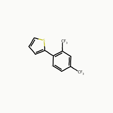 FC(F)(F)c1c[c]c(-c2cccs2)c(C(F)(F)F)c1